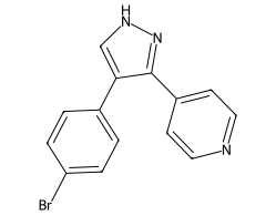 Brc1ccc(-c2c[nH]nc2-c2ccncc2)cc1